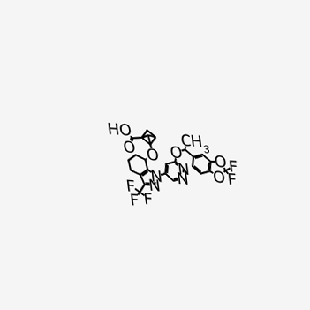 C[C@H](Oc1cc(-n2nc(C(F)(F)F)c3c2[C@@H](OC2C4CC2(C(=O)O)C4)CCC3)cnn1)c1ccc2c(c1)OC(F)(F)O2